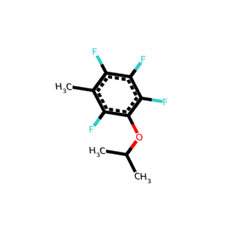 Cc1c(F)c(F)c(F)c(OC(C)C)c1F